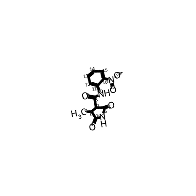 CC1C(=O)NC(=O)C1C(=O)Nc1ccccc1[N+](=O)[O-]